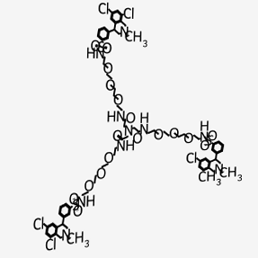 Cc1cc(Cl)cc2c1CN(C)CC2c1cccc(S(=O)(=O)NCCOCCOCCOCCNC(=O)CN(CC(=O)NCCOCCOCCOCCNS(=O)(=O)c2cccc(C3CN(C)Cc4c(Cl)cc(Cl)cc43)c2)CC(=O)NCCOCCOCCOCCNS(=O)(=O)c2cccc(C3CN(C)Cc4c(Cl)cc(Cl)cc43)c2)c1